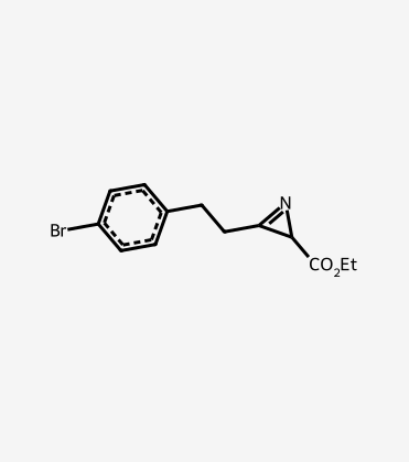 CCOC(=O)C1N=C1CCc1ccc(Br)cc1